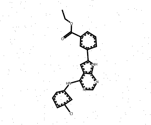 CCOC(=O)c1cccc(-c2cc3c(Nc4cccc(Cl)c4)ncnc3[nH]2)c1